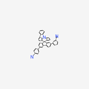 N#Cc1ccc(-c2ccc3c(c2)-c2ccc(-c4cccc(C#N)c4)cc2C32c3ccccc3-n3c4ccccc4c4cccc2c43)cc1